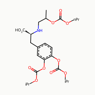 CCCOC(=O)OC(C)CN[C@@H](Cc1ccc(OC(=O)OC(C)C)c(OC(=O)OC(C)C)c1)C(=O)O